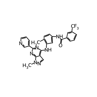 Cc1ccc(NC(=O)c2cccc(C(F)(F)F)c2)cc1Nc1nc(-c2cccnc2)nc2c1cnn2C